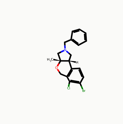 C[C@@]12CN(Cc3ccccc3)C[C@@H]1c1ccc(Br)c(Cl)c1CO2